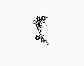 NC(=O)c1ccccc1[CH]CCN1CC2CN(C(=O)c3cnn(-c4ccc(F)cc4)c3N)C[C@@H]2C1